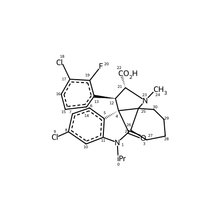 CC(C)N1C(=O)[C@@]2(c3ccc(Cl)cc31)[C@@H](c1cccc(Cl)c1F)[C@H](C(=O)O)N(C)C21CCCCC1